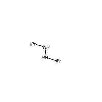 CC(C)NNC(C)C